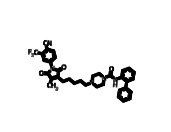 CC1=C(CCCCCN2CCN(C(=O)Nc3ccccc3-c3ccccc3)CC2)C(=O)N(c2ccc(C#N)c(C(F)(F)F)c2)C1=O